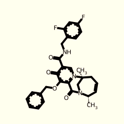 C[C@H]1C=CC[C@@]2(C)CN1C(=O)c1c(OCc3ccccc3)c(=O)c(C(=O)NCc3ccc(F)cc3F)cn12